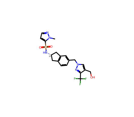 Cn1nccc1S(=O)(=O)N[C@H]1Cc2ccc(Cn3cc(CO)c(C(F)(F)F)n3)cc2C1